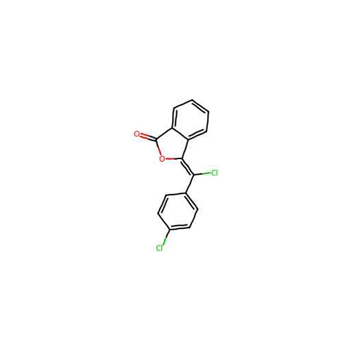 O=C1OC(=C(Cl)c2ccc(Cl)cc2)c2ccccc21